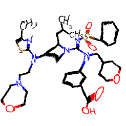 Cc1csc(N(CCN2CCOCC2)C2CN(C(=NS(=O)(=O)c3ccccc3)N(CC3CCOCC3)c3cccc(C(=O)O)c3)C2CC(C)C)n1